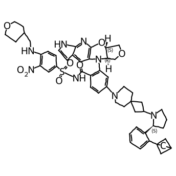 O=C(NS(=O)(=O)c1ccc(NCC2CCOCC2)c([N+](=O)[O-])c1)c1ccc(N2CCC3(CC2)CC(N2CCC[C@H]2c2ccccc2C24CC(C2)C4)C3)cc1N1c2cc3cc[nH]c3nc2O[C@@H]2COC[C@H]21